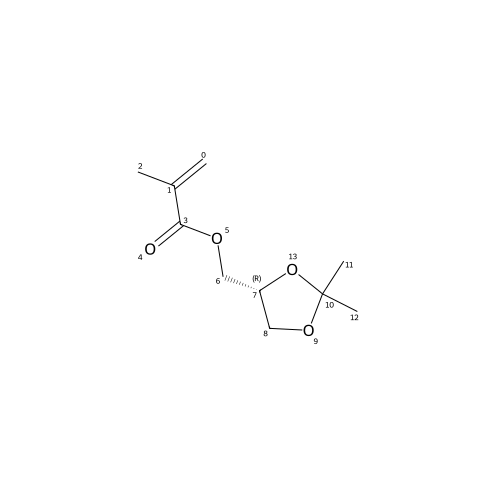 C=C(C)C(=O)OC[C@H]1COC(C)(C)O1